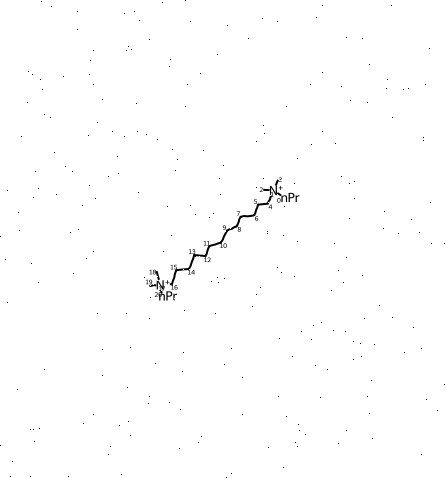 CCC[N+](C)(C)CCCCCCCCCCCCC[N+](C)(C)CCC